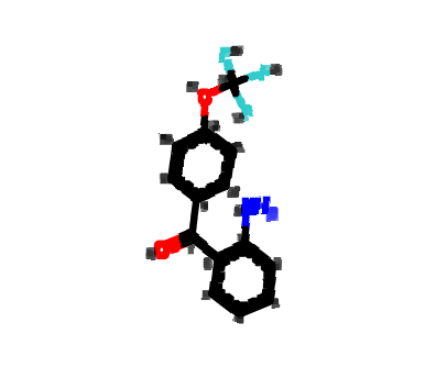 Nc1ccccc1C(=O)c1ccc(OC(F)(F)F)cc1